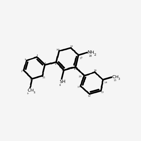 CC1C=CC=C(C2=C(S)C(C3=CC=CC(C)C3)=C(N)CC2)C1